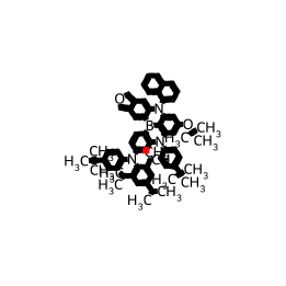 CC(C)c1cc(C(C)C)c(N(c2ccc(C(C)(C)C)cc2)c2ccc3c(c2)N(c2ccc(C(C)(C)C)cc2)c2cc(OC(C)(C)C)cc4c2B3c2cc3cocc3cc2N4c2cccc3ccccc23)c(C(C)C)c1